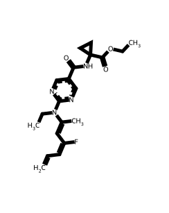 C=C/C=C(F)\C=C(/C)N(CC)c1ncc(C(=O)NC2(C(=O)OCC)CC2)cn1